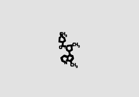 Cc1ccc(C2C[C@@H](C)CN(C(=O)C3CCN(C)CC3)C2)c2cccnc12